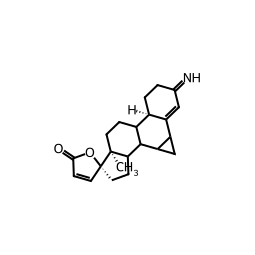 C[C@]12CCC3C(C4CC4C4=CC(=N)CC[C@@H]43)C1CC[C@@]21C=CC(=O)O1